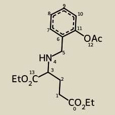 CCOC(=O)CCC(NCc1ccccc1OC(C)=O)C(=O)OCC